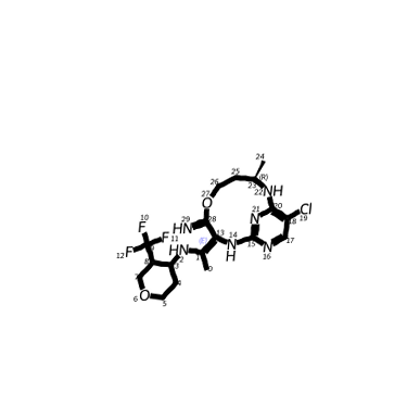 C/C(NC1CCOCC1C(F)(F)F)=C1\Nc2ncc(Cl)c(n2)N[C@H](C)CCOC1=N